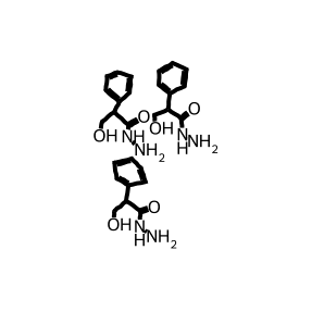 NNC(=O)C(CO)c1ccccc1.NNC(=O)C(CO)c1ccccc1.NNC(=O)C(CO)c1ccccc1